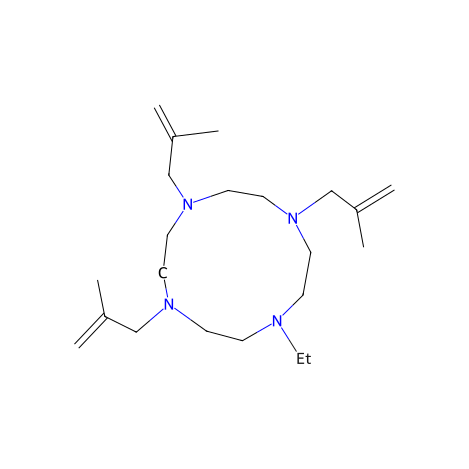 C=C(C)CN1CCN(CC)CCN(CC(=C)C)CCN(CC(=C)C)CC1